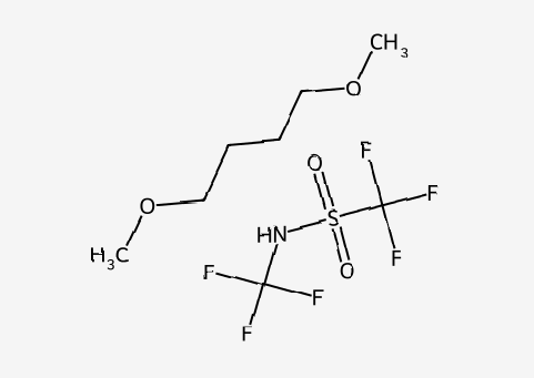 COCCCCOC.O=S(=O)(NC(F)(F)F)C(F)(F)F